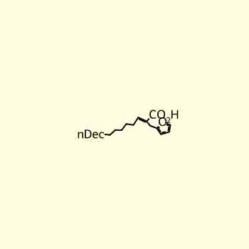 CCCCCCCCCCCCCCC/C=C(\Cc1ccco1)C(=O)O